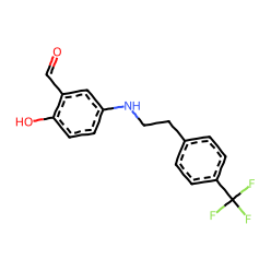 O=Cc1cc(NCCc2ccc(C(F)(F)F)cc2)ccc1O